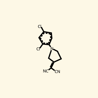 N#CC(C#N)=C1CCN(c2ccc(Cl)cc2Cl)C1